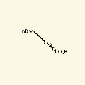 CCCCCCCCCCCCCCCCCCCOCCOCCOCC(=O)O